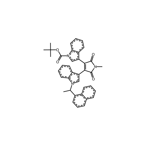 CC(c1cccc2ccccc12)n1cc(C2=C(c3cn(C(=O)OC(C)(C)C)c4ccccc34)C(=O)N(C)C2=O)c2ccccc21